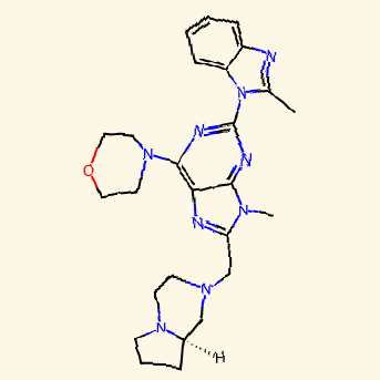 Cc1nc2ccccc2n1-c1nc(N2CCOCC2)c2nc(CN3CCN4CCC[C@@H]4C3)n(C)c2n1